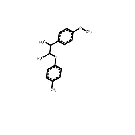 COc1ccc(C(C)C(C)Oc2ccc(C)cc2)cc1